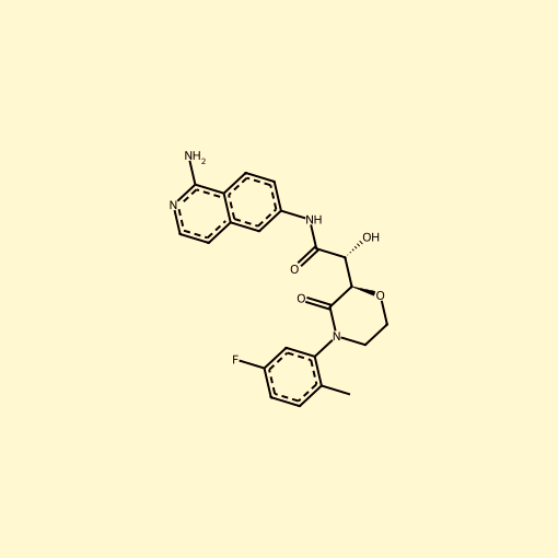 Cc1ccc(F)cc1N1CCO[C@H]([C@@H](O)C(=O)Nc2ccc3c(N)nccc3c2)C1=O